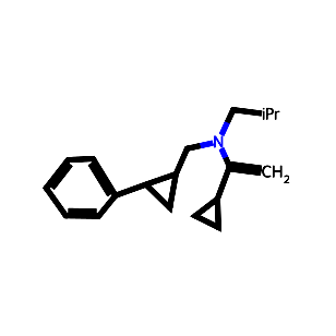 C=C(C1CC1)N(CC(C)C)CC1CC1c1ccccc1